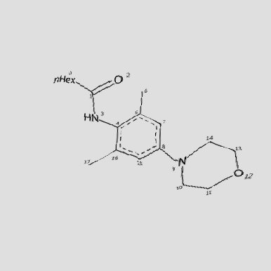 CCCCCCC(=O)Nc1c(C)cc(N2CCOCC2)cc1C